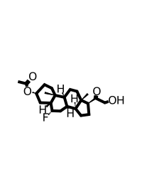 CC(=O)O[C@@H]1CC[C@]2(C)[C@H]3CC[C@]4(C)[C@@H](C(=O)CO)CC[C@H]4[C@@H]3C[C@H](F)[C@@H]2C1